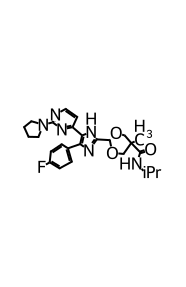 CC(C)NC(=O)C1(C)COC(c2nc(-c3ccc(F)cc3)c(-c3ccnc(N4CCCC4)n3)[nH]2)OC1